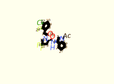 CC(=O)n1cc(NC(=O)[C@H]2CC(F)(F)CN2C(=O)Cc2cccc(Cl)c2F)c2ccccc21